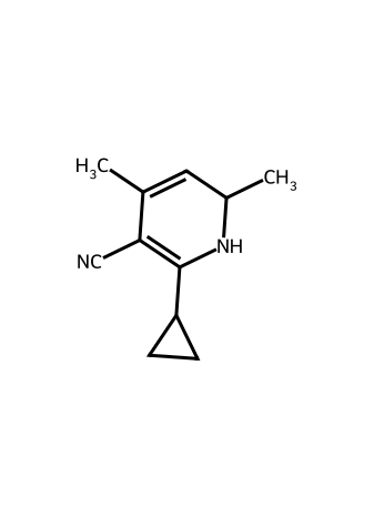 CC1=CC(C)NC(C2CC2)=C1C#N